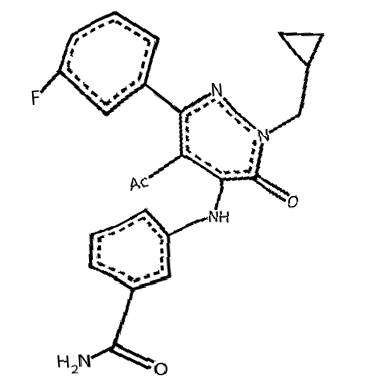 CC(=O)c1c(-c2cccc(F)c2)nn(CC2CC2)c(=O)c1Nc1cccc(C(N)=O)c1